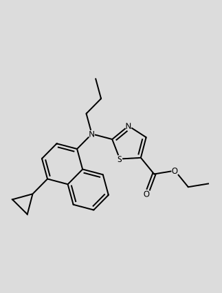 CCCN(c1ncc(C(=O)OCC)s1)c1ccc(C2CC2)c2ccccc12